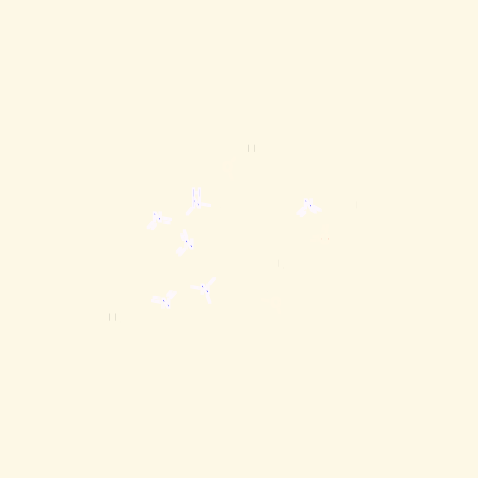 COc1cc(-c2nc(C)oc2C)ccc1Nc1ncc2cc(C)nc(N3CCC(OC)CC3)c2n1